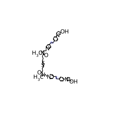 CN(CC[n+]1ccc(/C=C/c2ccc(N3CCC(O)C3)cc2)cc1)C(=O)CCCSSCCCC(=O)N(C)CC[n+]1ccc(/C=C/c2ccc(N3CCC(O)C3)cc2)cc1